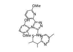 COC1=NC(c2nnc(NSC(C)C(C)c3ncc(C)cn3)n2-c2c(O)cccc2OC)=C=C=C1